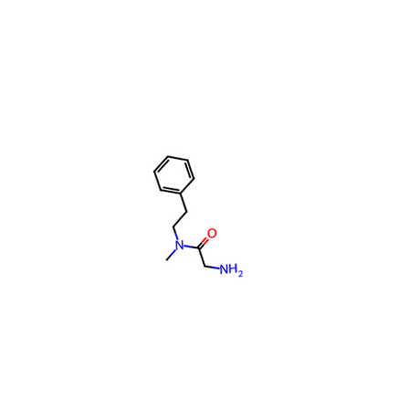 CN(CCc1ccccc1)C(=O)CN